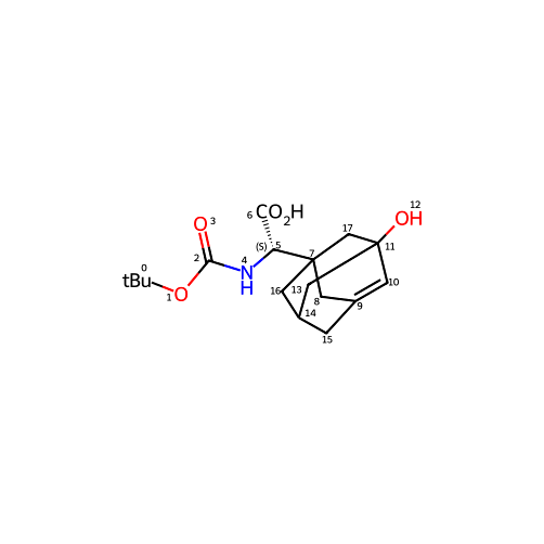 CC(C)(C)OC(=O)N[C@H](C(=O)O)C12CC3=CC(O)(CC(C3)C1)C2